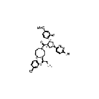 COc1ccc([C@@H]2CN(c3ccc(C#N)nn3)C[C@H]2C(=O)N2CCC[C@@H](c3ccc(Cl)cc3)N(C(=O)CC(F)(F)F)CC2)c(F)c1